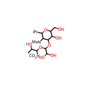 CNC1C(C(C)C)OC(CO)C(O)C1OC(OC(C(=O)O)C(C)O)C(O)O